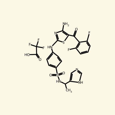 CC(NS(=O)(=O)c1ccc(Nc2nc(N)c(C(=O)c3c(F)cccc3F)s2)cc1)c1cnc[nH]1.O=C(O)C(F)(F)F